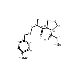 COc1ccc(CSCC(C)C(=O)N2CCC[C@H]2C(=O)OC(C)(C)C)cc1